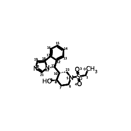 CCS(=O)(=O)N1CC[C@@H](O)[C@H]([C@H]2c3ccccc3-c3cncn32)C1